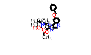 CCOCc1nc2cnc3ccc(OCc4ccccc4)cc3c2n1CC(C)(C)N(C(=O)O)C(C)(C)C